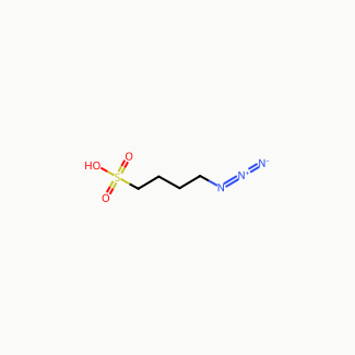 [N-]=[N+]=NCCCCS(=O)(=O)O